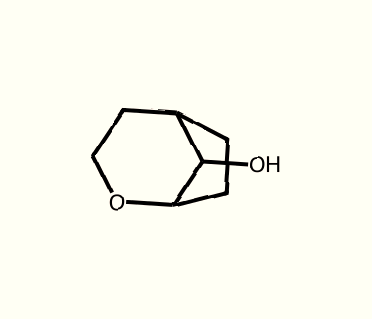 OC1C2CCOC1CC2